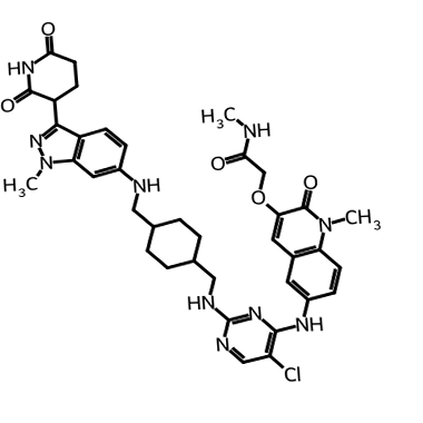 CNC(=O)COc1cc2cc(Nc3nc(NCC4CCC(CNc5ccc6c(C7CCC(=O)NC7=O)nn(C)c6c5)CC4)ncc3Cl)ccc2n(C)c1=O